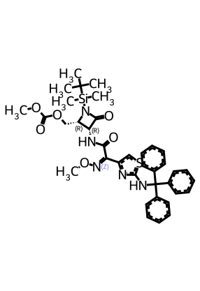 CO/N=C(\C(=O)N[C@H]1C(=O)N([Si](C)(C)C(C)(C)C)[C@H]1COC(=O)OC)c1csc(NC(c2ccccc2)(c2ccccc2)c2ccccc2)n1